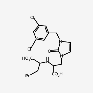 CC(C)CC(NC(Cn1ccn(Cc2cc(Cl)cc(Cl)c2)c1=O)C(=O)O)C(=O)O